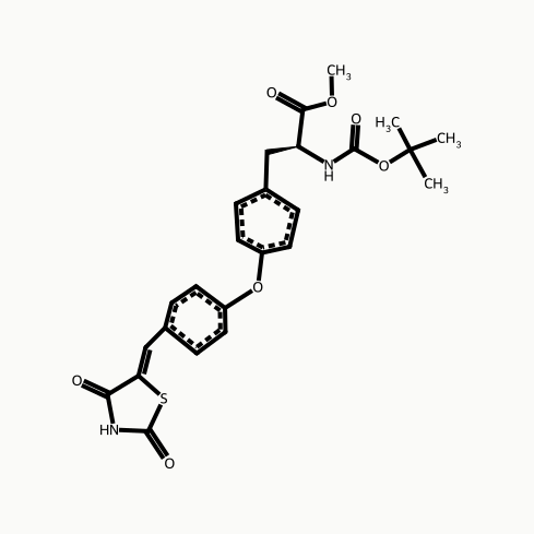 COC(=O)[C@H](Cc1ccc(Oc2ccc(/C=C3\SC(=O)NC3=O)cc2)cc1)NC(=O)OC(C)(C)C